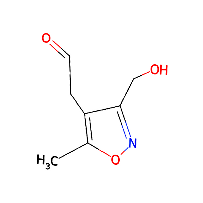 Cc1onc(CO)c1CC=O